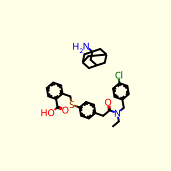 CCN(Cc1ccc(Cl)cc1)C(=O)Cc1ccc(SCc2ccccc2C(=O)O)cc1.NC12CC3CC(CC(C3)C1)C2